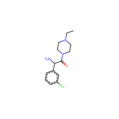 CCN1CCN(C(=O)C(N)c2cccc(Cl)c2)CC1